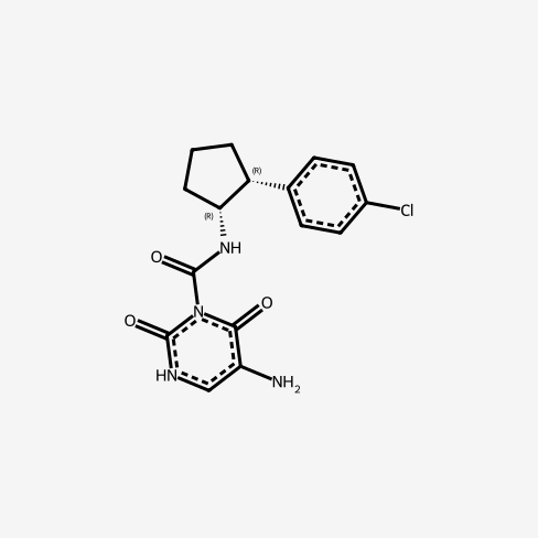 Nc1c[nH]c(=O)n(C(=O)N[C@@H]2CCC[C@@H]2c2ccc(Cl)cc2)c1=O